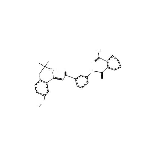 COc1ccc2c(c1)/C(=C/C(=O)c1cccc(NC(=O)c3ccccc3C(=O)O)c1)NC(C)(C)C2